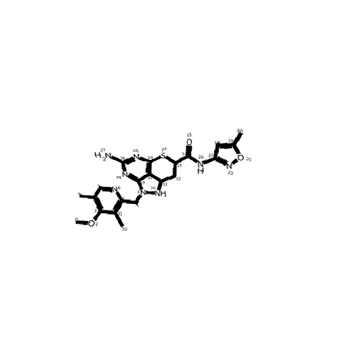 COc1c(C)cnc(CN2NC3CC(C(=O)Nc4cc(C)on4)Sc4nc(N)nc2c43)c1C